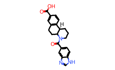 O=C(O)c1ccc2c(c1)CCC1[C@@H]2CCCN1C(=O)c1ccc2[nH]cnc2c1